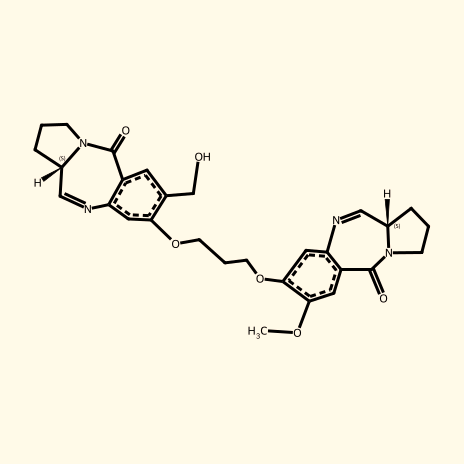 COc1cc2c(cc1OCCCOc1cc3c(cc1CO)C(=O)N1CCC[C@H]1C=N3)N=C[C@@H]1CCCN1C2=O